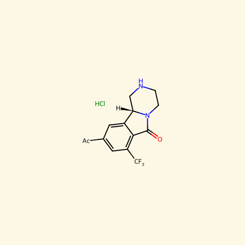 CC(=O)c1cc2c(c(C(F)(F)F)c1)C(=O)N1CCNC[C@@H]21.Cl